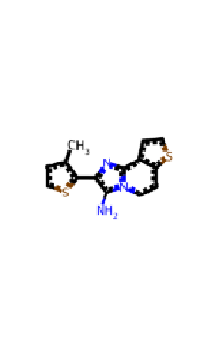 Cc1ccsc1-c1nc2c3ccsc3ccn2c1N